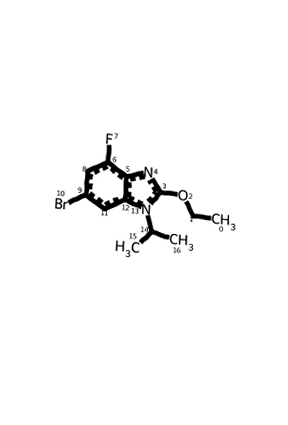 CCOc1nc2c(F)cc(Br)cc2n1C(C)C